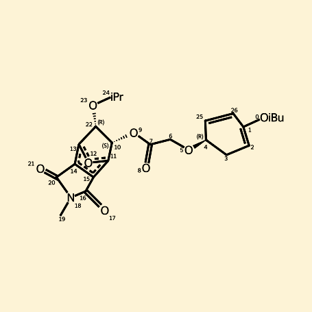 CC(C)COC1=CC[C@@H](OCC(=O)O[C@@H]2c3oc(c4c3C(=O)N(C)C4=O)[C@@H]2OC(C)C)C=C1